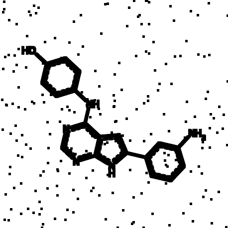 Nc1cccc(-c2cc3c(Nc4ccc(O)cc4)ncnc3[nH]2)c1